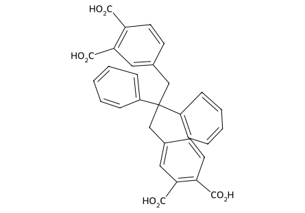 O=C(O)c1ccc(CC(Cc2ccc(C(=O)O)c(C(=O)O)c2)(c2ccccc2)c2ccccc2)cc1C(=O)O